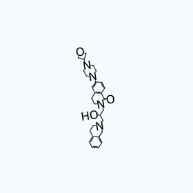 O=C1c2ccc(N3CCN(C4COC4)CC3)cc2CCN1C[C@H](O)CN1CCc2ccccc2C1